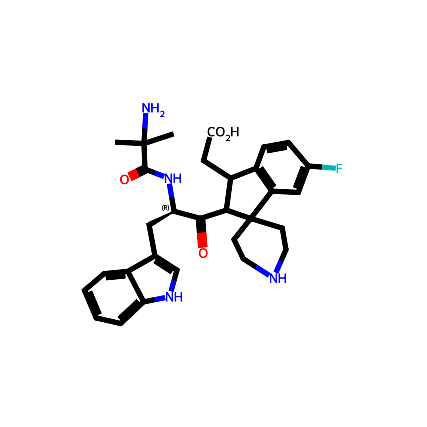 CC(C)(N)C(=O)N[C@H](Cc1c[nH]c2ccccc12)C(=O)C1C(CC(=O)O)c2ccc(F)cc2C12CCNCC2